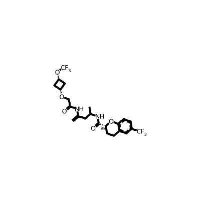 C=C(CC(C)NC(=O)[C@H]1CCc2cc(C(F)(F)F)ccc2O1)NC(=O)CO[C@H]1C[C@@H](OC(F)(F)F)C1